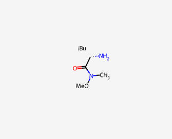 CC[C@H](C)[C@H](N)C(=O)N(C)OC